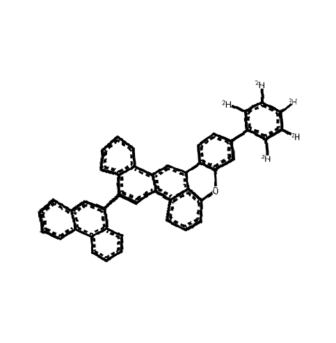 [2H]c1c([2H])c([2H])c(-c2ccc3c(c2)Oc2cccc4c2c-3cc2c3ccccc3c(-c3cc5ccccc5c5ccccc35)cc42)c([2H])c1[2H]